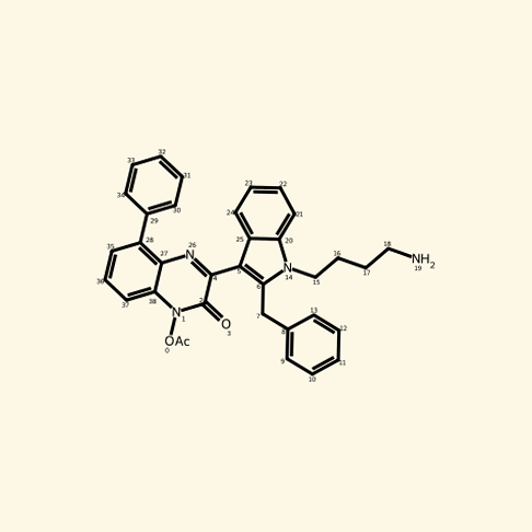 CC(=O)On1c(=O)c(-c2c(Cc3ccccc3)n(CCCCN)c3ccccc23)nc2c(-c3ccccc3)cccc21